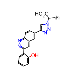 CC(C)C(C(=O)O)n1cc(-c2ccc3nnc(-c4ccccc4O)cc3c2)nn1